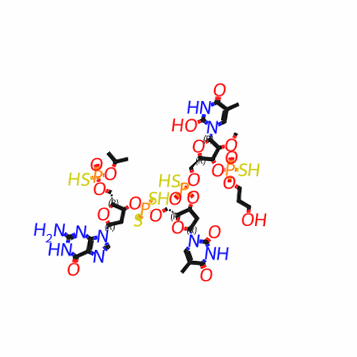 COC1C(OP(=O)(S)OCCCO)[C@@H](COP(=O)(S)OC2C[C@H](n3cc(C)c(=O)[nH]c3=O)O[C@@H]2COP(=S)(S)OC2C[C@H](n3cnc4c(=O)[nH]c(N)nc43)O[C@@H]2COP(=O)(S)OC(C)C)O[C@H]1N1C=C(C)C(=O)NC1O